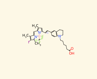 CC1=C(I)C(C)=[N+]2C1=Cc1c(C)cc(/C=C/c3ccc4c(c3)CCCN4CCCCCC(=O)O)n1[B-]2(F)C(F)(F)F